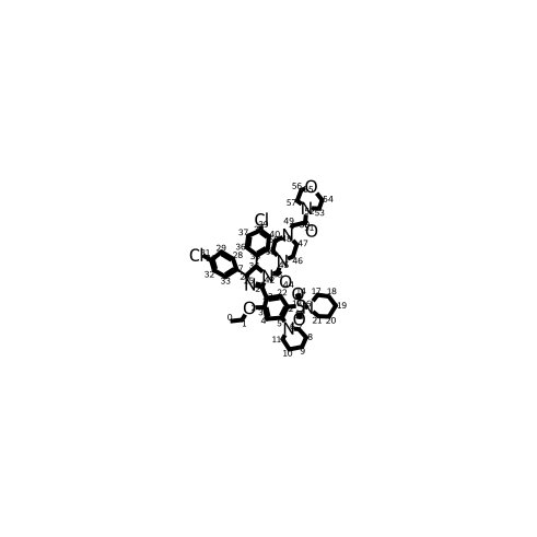 CCOc1cc(N2CCCCC2)c(S(=O)(=O)N2CCCCC2)cc1C1=N[C@@H](c2ccc(Cl)cc2)[C@@H](c2ccc(Cl)cc2)N1C(=O)N1CCN(CC(=O)N2CCOCC2)CC1